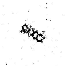 CN1[C@@H]2CC[C@H]1C[C@@H](Oc1cc3cc[nH]c(=O)c3cc1Cl)C2